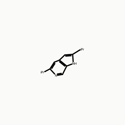 CC(C)c1cc2cc(C(C)C)[nH]c2cn1